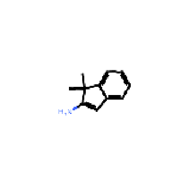 CC1(C)C(N)=Cc2ccccc21